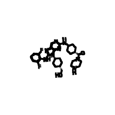 O=C([C@H]1CC[C@H](Nc2ncc3nc(Nc4c(F)cccc4F)n([C@H]4CC[C@@H](CO)CC4)c3n2)CC1)N1CCNCC1